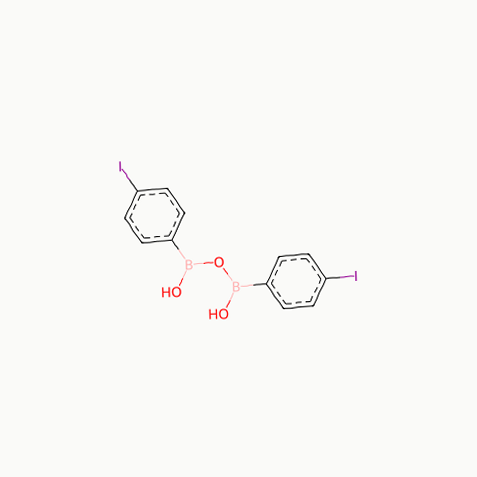 OB(OB(O)c1ccc(I)cc1)c1ccc(I)cc1